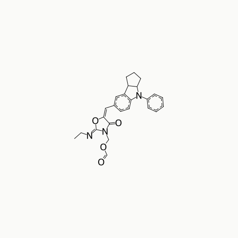 CC/N=C1\O/C(=C/c2ccc3c(c2)C2CCCC2N3c2ccccc2)C(=O)N1COC=O